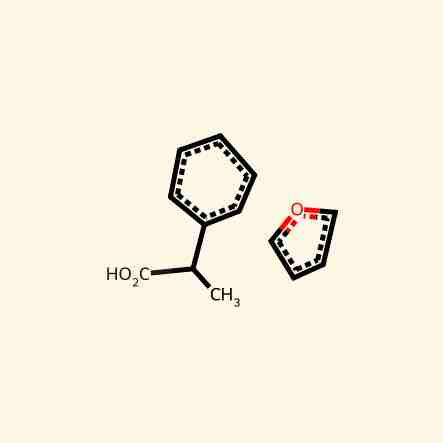 CC(C(=O)O)c1ccccc1.c1ccoc1